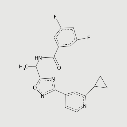 CC(NC(=O)c1cc(F)cc(F)c1)c1nc(-c2ccnc(C3CC3)c2)no1